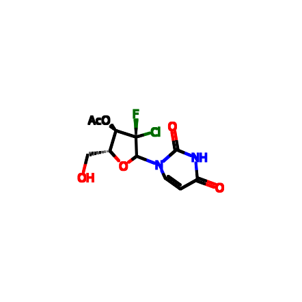 CC(=O)O[C@@H]1[C@@H](CO)OC(n2ccc(=O)[nH]c2=O)[C@@]1(F)Cl